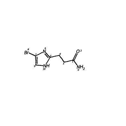 NC(=O)CCc1nc(Br)c[nH]1